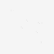 CCCc1nc2c(N)nc(CC)c3c2n1CCC3